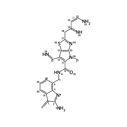 C=C1C(N)=Nc2c(CNC(=O)c3c(C=N)c4sc(CC(=N)/C=C\N)nc4n3C)cccc21